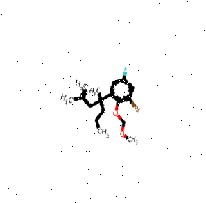 C=C(C)CC(C)(CCC)c1cc(F)cc(Br)c1OCOC